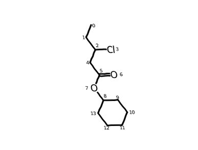 CCC(Cl)CC(=O)OC1CCCCC1